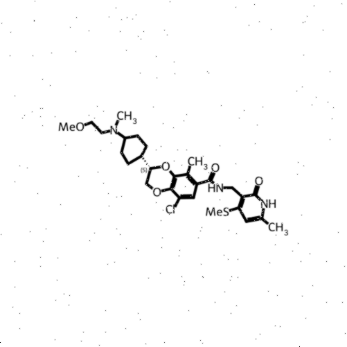 COCCN(C)C1CCC([C@H]2COc3c(Cl)cc(C(=O)NCc4c(SC)cc(C)[nH]c4=O)c(C)c3O2)CC1